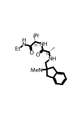 CCNC(=O)[C@@H](NC(=O)[C@H](C)NCC1(NC)Cc2ccccc2C1)C(C)C